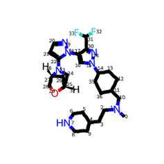 CN(CCC1CCNCC1)CC1CCC(n2cc(-n3nccc3N3C[C@H]4C[C@@H]3CO4)c(C(F)F)n2)CC1